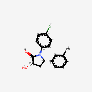 N#Cc1cccc([C@@H]2C[C@H](O)C(=O)N2c2ccc(Cl)cc2)c1